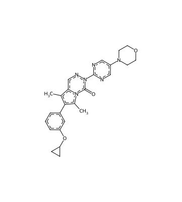 Cc1c(-c2cccc(OC3CC3)c2)c(C)n2c(=O)n(-c3ncc(N4CCOCC4)cn3)ncc12